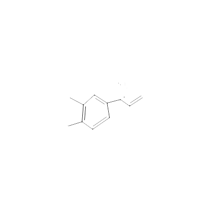 C=C[C@@H](N)c1ccc(Cl)c(F)c1.Cl